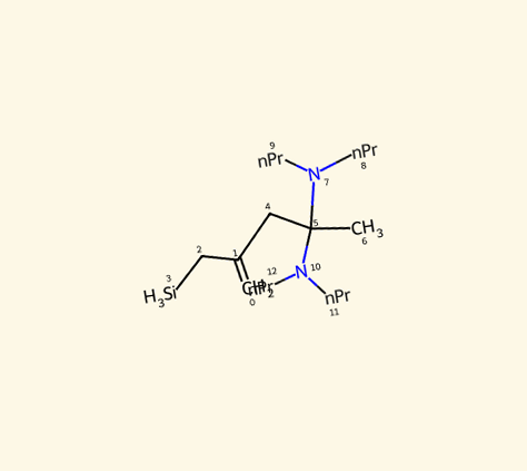 C=C(C[SiH3])CC(C)(N(CCC)CCC)N(CCC)CCC